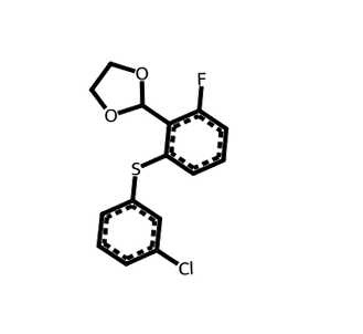 Fc1cccc(Sc2cccc(Cl)c2)c1C1OCCO1